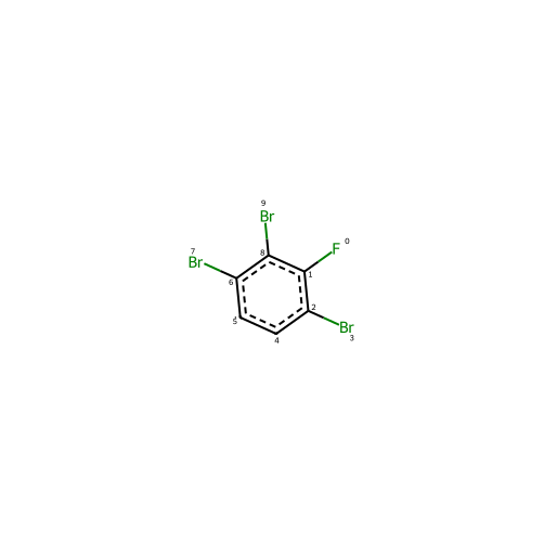 Fc1c(Br)c[c]c(Br)c1Br